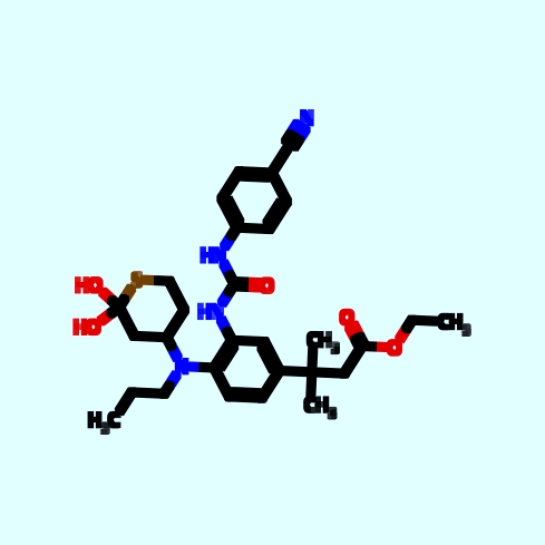 CCCN(c1ccc(C(C)(C)CC(=O)OCC)cc1NC(=O)Nc1ccc(C#N)cc1)C1CCSC(O)(O)C1